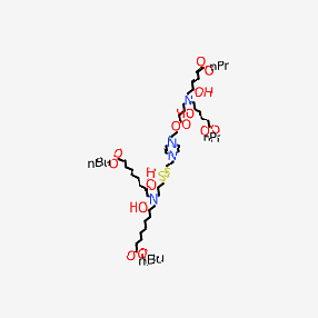 CCCCOC(=O)CCCCCCC(O)CN(CCCSSCCN1CCN(CCOC(=O)CCCN(CC(O)CCCC(=O)OCCC)CC(O)CCCC(=O)OCCC)CC1)CC(O)CCCCCCC(=O)OCCCC